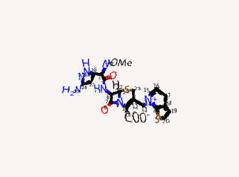 CO/N=C(\C(=O)NC1C(=O)N2C(C(=O)[O-])=C(C[n+]3cccc4ccsc43)CS[C@H]12)c1cc(N)n[nH]1